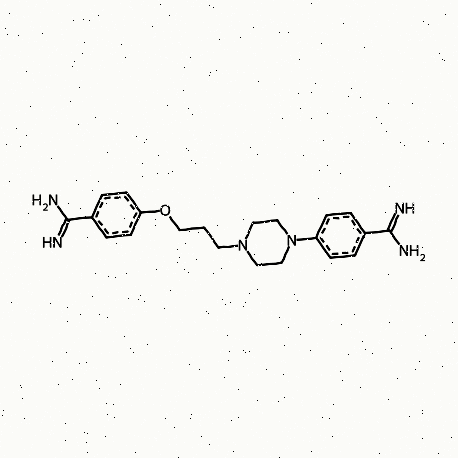 N=C(N)c1ccc(OCCCN2CCN(c3ccc(C(=N)N)cc3)CC2)cc1